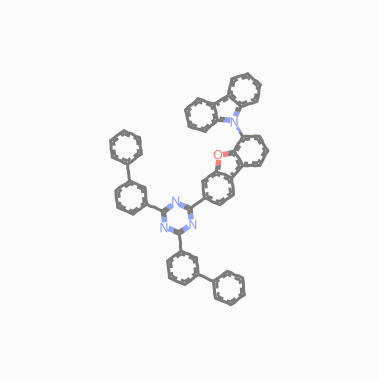 c1ccc(-c2cccc(-c3nc(-c4cccc(-c5ccccc5)c4)nc(-c4ccc5c(c4)oc4c(-n6c7ccccc7c7ccccc76)cccc45)n3)c2)cc1